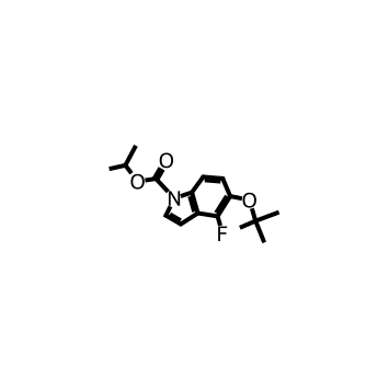 CC(C)OC(=O)n1ccc2c(F)c(OC(C)(C)C)ccc21